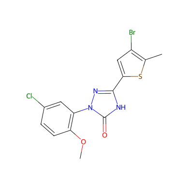 COc1ccc(Cl)cc1-n1nc(-c2cc(Br)c(C)s2)[nH]c1=O